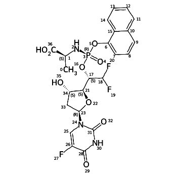 C[C@H](N[P@](=O)(Oc1cccc2ccccc12)O[C@H](C(F)F)[C@H]1O[C@@H](n2cc(F)c(=O)[nH]c2=O)C[C@@H]1O)C(=O)O